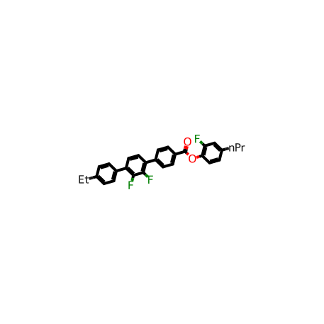 CCCc1ccc(OC(=O)c2ccc(-c3ccc(-c4ccc(CC)cc4)c(F)c3F)cc2)c(F)c1